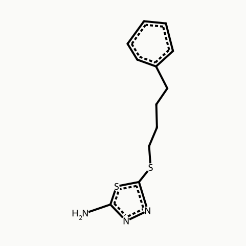 Nc1nnc(SCCCCc2ccccc2)s1